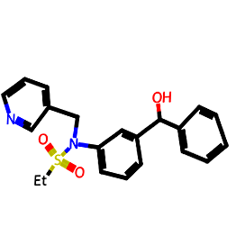 CCS(=O)(=O)N(Cc1cccnc1)c1cccc(C(O)c2ccccc2)c1